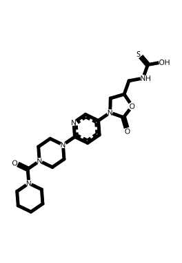 O=C(N1CCCCC1)N1CCN(c2ccc(N3CC(CNC(O)=S)OC3=O)cn2)CC1